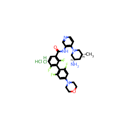 C[C@@H]1C[C@H](N)CN(c2ccncc2NC(=O)c2ccc(F)c(-c3c(F)cc(N4CCOCC4)cc3F)c2F)C1.Cl.Cl